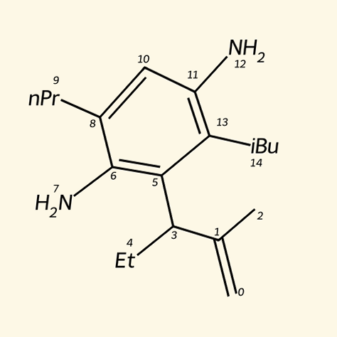 C=C(C)C(CC)c1c(N)c(CCC)cc(N)c1C(C)CC